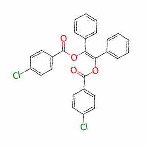 O=C(OC(=C(OC(=O)c1ccc(Cl)cc1)c1ccccc1)c1ccccc1)c1ccc(Cl)cc1